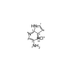 Cl.Nc1cnc2[nH]ccc2c1